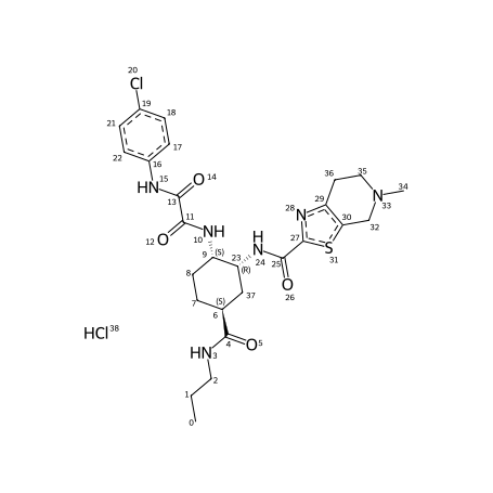 CCCNC(=O)[C@H]1CC[C@H](NC(=O)C(=O)Nc2ccc(Cl)cc2)[C@H](NC(=O)c2nc3c(s2)CN(C)CC3)C1.Cl